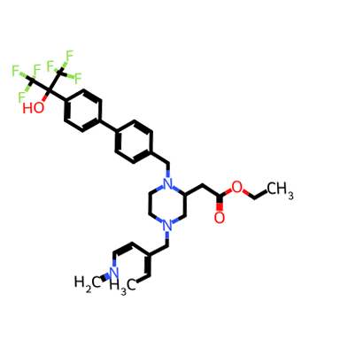 C=N/C=C\C(=C/C)CN1CCN(Cc2ccc(-c3ccc(C(O)(C(F)(F)F)C(F)(F)F)cc3)cc2)C(CC(=O)OCC)C1